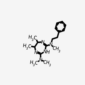 CC1N=C(N(C)C)NC(N(C)CCc2ccccc2)=NC1C